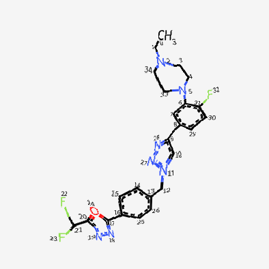 CCN1CCN(c2cc(-c3cn(Cc4ccc(-c5nnc(C(F)F)o5)cc4)nn3)ccc2F)CC1